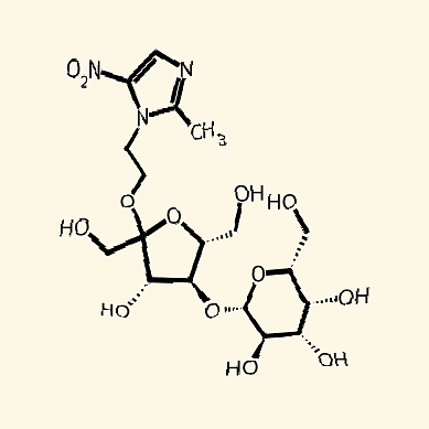 Cc1ncc([N+](=O)[O-])n1CCOC1(CO)O[C@H](CO)[C@@H](O[C@@H]2O[C@H](CO)[C@H](O)[C@H](O)[C@H]2O)[C@@H]1O